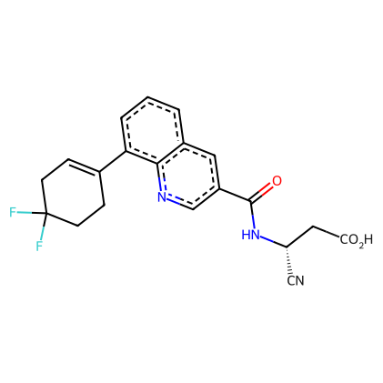 N#C[C@@H](CC(=O)O)NC(=O)c1cnc2c(C3=CCC(F)(F)CC3)cccc2c1